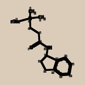 CCCCCCCCCC[Si](C)(C)CCC(=O)NC1CCc2ccccc21